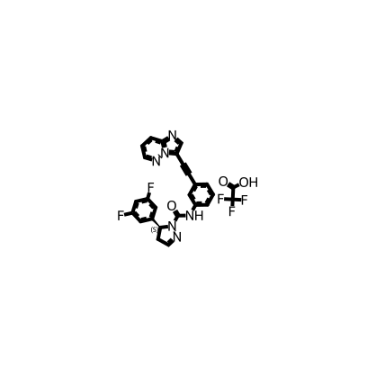 O=C(Nc1cccc(C#Cc2cnc3cccnn23)c1)N1N=CC[C@H]1c1cc(F)cc(F)c1.O=C(O)C(F)(F)F